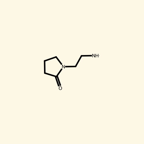 [NH]CCN1CCCC1=O